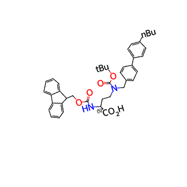 CCCCc1ccc(-c2ccc(CN(CC[C@H](NC(=O)OCC3c4ccccc4-c4ccccc43)C(=O)O)C(=O)OC(C)(C)C)cc2)cc1